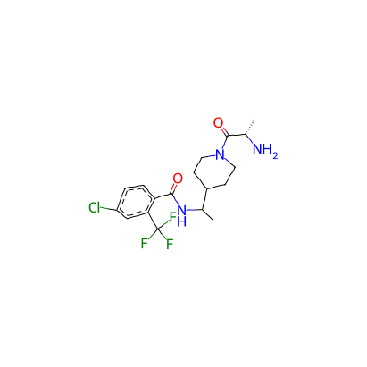 CC(NC(=O)c1ccc(Cl)cc1C(F)(F)F)C1CCN(C(=O)[C@H](C)N)CC1